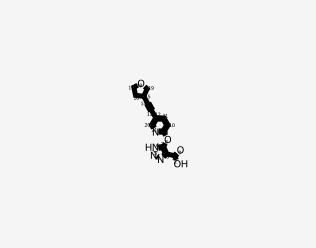 O=C(O)c1nn[nH]c1Oc1ccc(C#CC2CCOC2)cn1